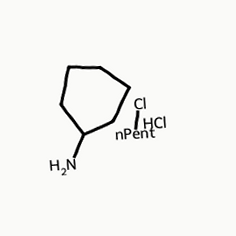 CCCCCCl.Cl.NC1CCCCC1